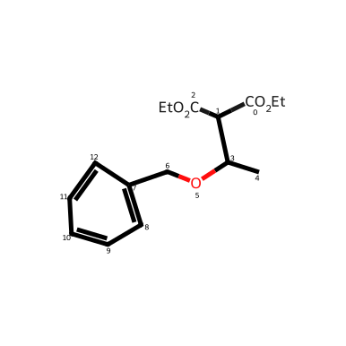 CCOC(=O)C(C(=O)OCC)C(C)OCc1ccccc1